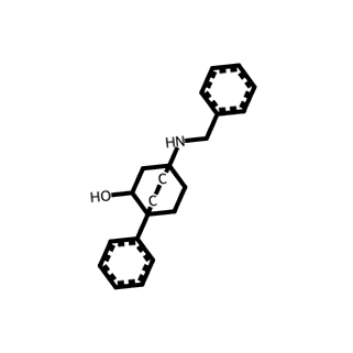 OC1CC2(NCc3ccccc3)CCC1(c1ccccc1)CC2